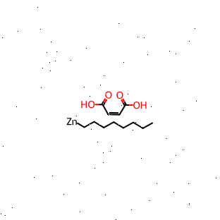 CCCCCCC[CH2][Zn].O=C(O)/C=C\C(=O)O